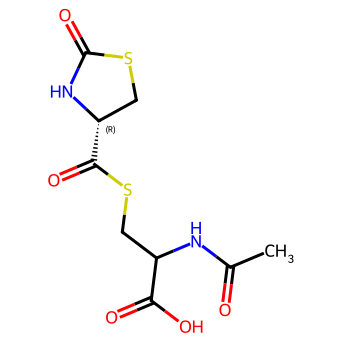 CC(=O)NC(CSC(=O)[C@H]1CSC(=O)N1)C(=O)O